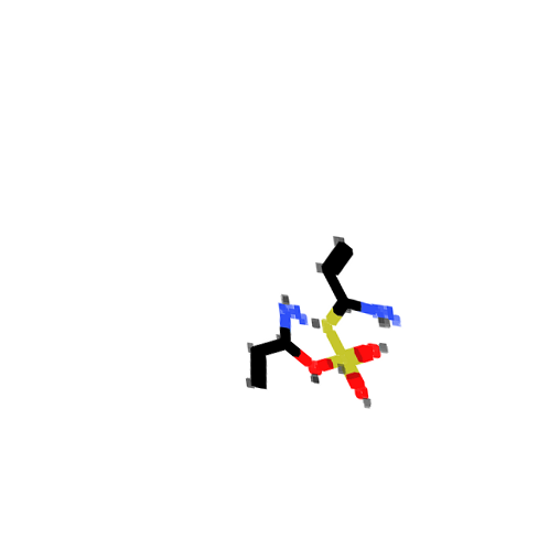 C=CC(N)OS(=O)(=O)SC(N)C=C